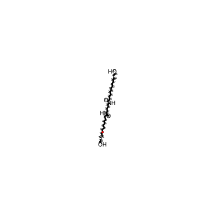 O=C(CCCCCCCCCCSCCO)NCCCCNC(=O)CCCCCCCCCCSCCO